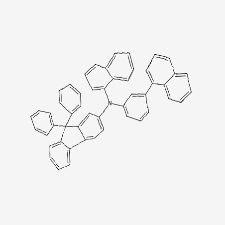 c1ccc(C2(c3ccccc3)c3ccccc3-c3ccc(N(c4cccc(-c5cccc6ccccc56)c4)c4cccc5ccccc45)cc32)cc1